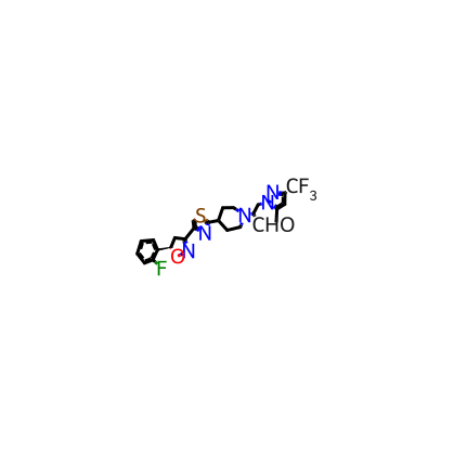 Cc1cc(C(F)(F)F)nn1CC(C=O)N1CCC(c2nc(C3=NO[C@@H](c4ccccc4F)C3)cs2)CC1